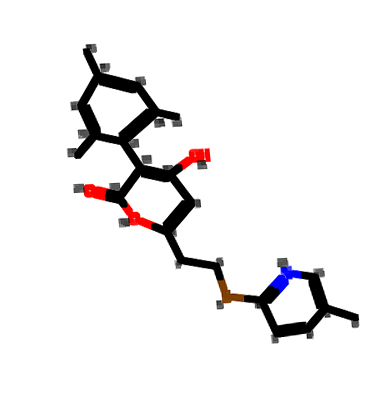 Cc1ccc(SCCc2cc(O)c(-c3c(C)cc(C)cc3C)c(=O)o2)nc1